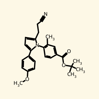 COc1ccc(-c2ccc(CCC#N)n2-c2ccc(C(=O)OC(C)(C)C)cc2C)cc1